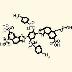 Cc1ccc(S(=O)(=O)Oc2cc(-n3nc4ccc5c(S(=O)(=O)O)cc(S(=O)(=O)O)cc5c4n3)c(OS(=O)(=O)c3ccc(C)cc3)cc2-n2nc3ccc4c(SOOO)cc(S(=O)(=O)O)cc4c3n2)cc1